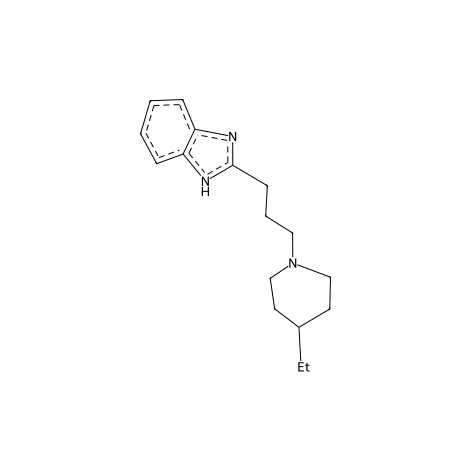 CCC1CCN(CCCc2nc3ccccc3[nH]2)CC1